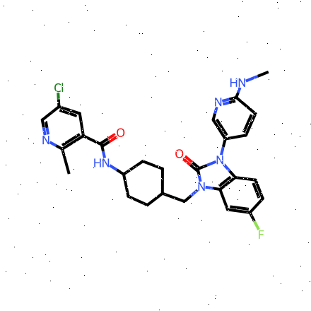 CNc1ccc(-n2c(=O)n(CC3CCC(NC(=O)c4cc(Cl)cnc4C)CC3)c3cc(F)ccc32)cn1